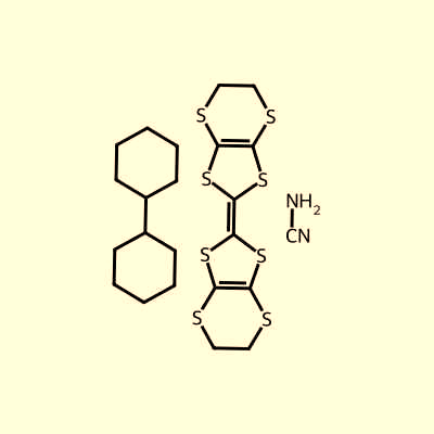 C1CCC(C2CCCCC2)CC1.C1CSC2=C(S1)SC(=C1SC3=C(SCCS3)S1)S2.N#CN